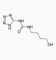 O=C(NCCCCO)Nc1nnn[nH]1